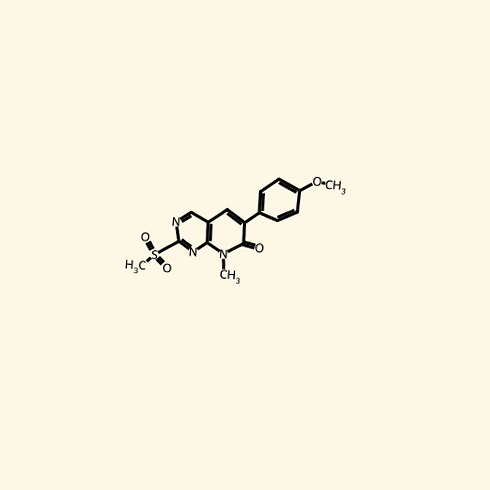 COc1ccc(-c2cc3cnc(S(C)(=O)=O)nc3n(C)c2=O)cc1